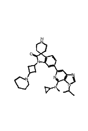 CC(C)n1cnc2cc(-c3ccc4c(c3)N(C3CC(N5CCCCC5)C3)C(=O)C43CCNCC3)nc(N(C)C3CC3)c21